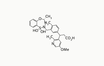 COc1cnc(C)c(C(CC(=O)O)c2ccc(C)c(CN3C[C@@H](C)Oc4ccccc4S3(O)O)c2)c1